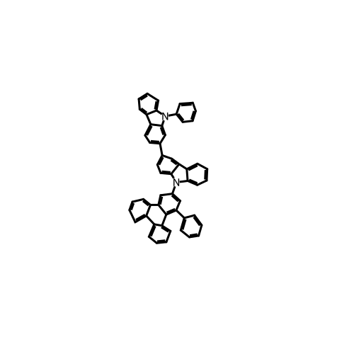 c1ccc(-c2cc(-n3c4ccccc4c4cc(-c5ccc6c7ccccc7n(-c7ccccc7)c6c5)ccc43)cc3c4ccccc4c4ccccc4c23)cc1